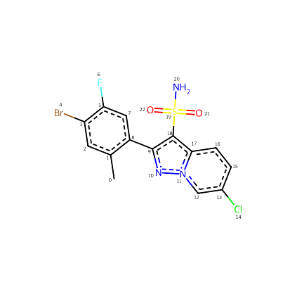 Cc1cc(Br)c(F)cc1-c1nn2cc(Cl)ccc2c1S(N)(=O)=O